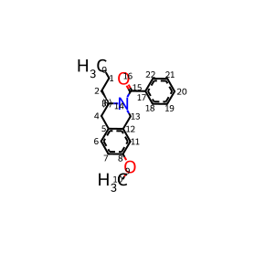 CCC[C@@H]1Cc2ccc(OC)cc2CN1C(=O)c1ccccc1